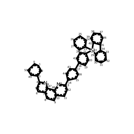 c1ccc(-c2ccc3ccc4ccc(-c5ccc(-c6ccc([Si]7(c8ccccc8)c8ccccc8-c8ccccc87)cc6)cc5)nc4c3n2)cc1